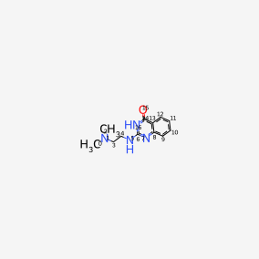 CN(C)CCNc1nc2ccccc2c(=O)[nH]1